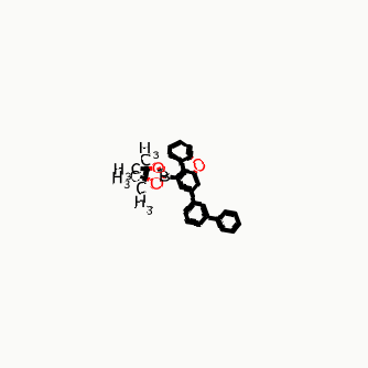 CC1(C)OB(c2cc(-c3cccc(-c4ccccc4)c3)cc3oc4ccccc4c23)OC1(C)C